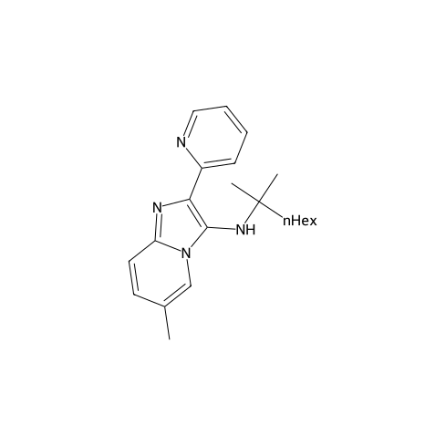 CCCCCCC(C)(C)Nc1c(-c2ccccn2)nc2ccc(C)cn12